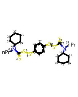 CCCN(C(=S)SSc1ccc(SSC(=S)N(CCC)C2CCCCC2)cc1)C1CCCCC1